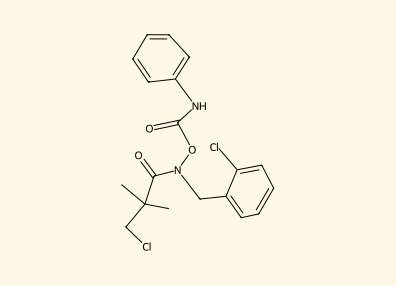 CC(C)(CCl)C(=O)N(Cc1ccccc1Cl)OC(=O)Nc1ccccc1